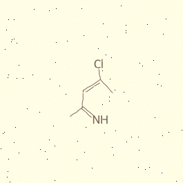 CC(=N)/C=C(\C)Cl